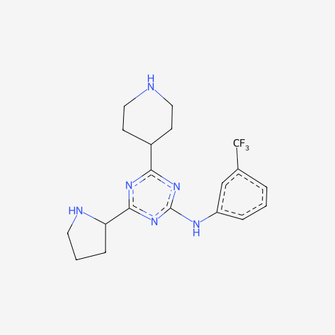 FC(F)(F)c1cccc(Nc2nc(C3CCNCC3)nc(C3CCCN3)n2)c1